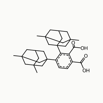 CC12CC3CC(C)(C1)CC(c1ccc(C(=O)O)c(C(=O)O)c1C14CC5CC(C)(CC(C)(C5)C1)C4)(C3)C2